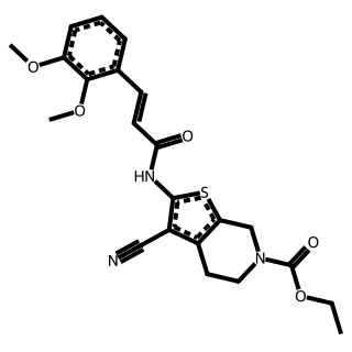 CCOC(=O)N1CCc2c(sc(NC(=O)C=Cc3cccc(OC)c3OC)c2C#N)C1